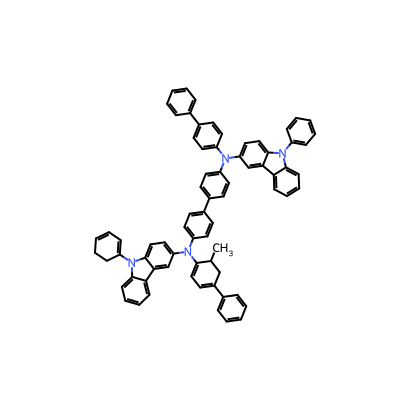 CC1CC(c2ccccc2)=CC=C1N(c1ccc(-c2ccc(N(c3ccc(-c4ccccc4)cc3)c3ccc4c(c3)c3ccccc3n4-c3ccccc3)cc2)cc1)c1ccc2c(c1)c1ccccc1n2C1=CC=CCC1